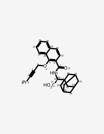 CC(C)C#CCOc1c(C(=O)N[C@H](C(=O)O)C23CC4CC(CC(C4)C2)C3)ccc2ccccc12